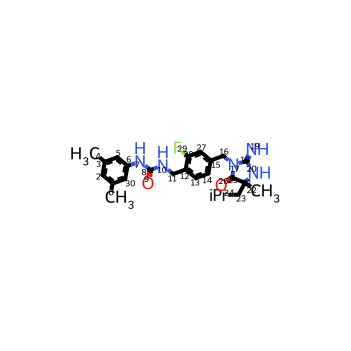 Cc1cc(C)cc(NC(=O)NCc2ccc(CN3C(=N)NC(C)(CC(C)C)C3=O)cc2F)c1